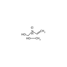 C=C[SiH](Cl)CO.CO